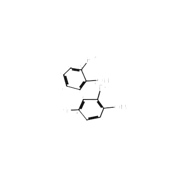 Oc1ccc(F)cc1F.Oc1ccccc1F